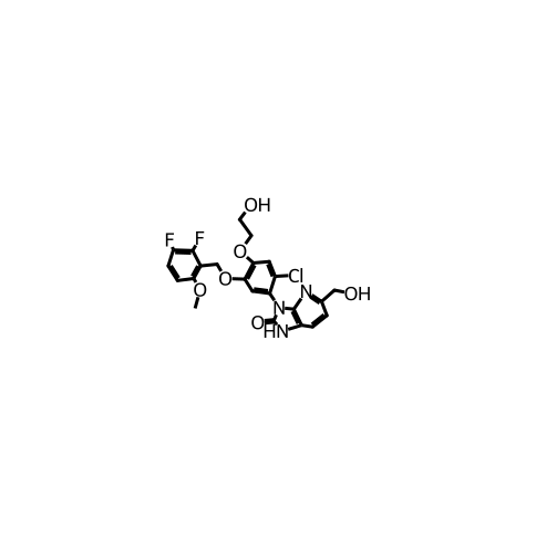 COc1ccc(F)c(F)c1COc1cc(-n2c(=O)[nH]c3ccc(CO)nc32)c(Cl)cc1OCCO